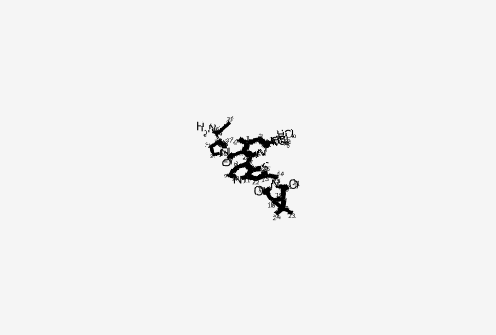 Cc1cc(C(F)(F)F)nc(-c2ccnc3cc(CN4C(=O)C5C(C4=O)C5(C)C)sc23)c1C(=O)N1CC[C@H](C(C)N)C1.Cl.Cl.Cl